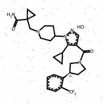 Cl.NC(=O)C1(CN2CCC(n3ncc(C(=O)N4CC[C@@H](c5ccccc5C(F)(F)F)C4)c3C3CC3)CC2)CC1